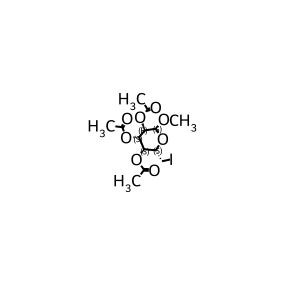 CO[C@H]1O[C@H](CI)[C@@H](OC(C)=O)[C@H](OC(C)=O)[C@H]1OC(C)=O